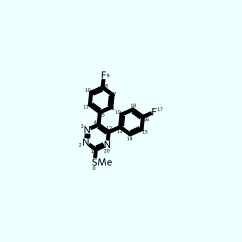 CSc1nnc(-c2ccc(F)cc2)c(-c2ccc(F)cc2)n1